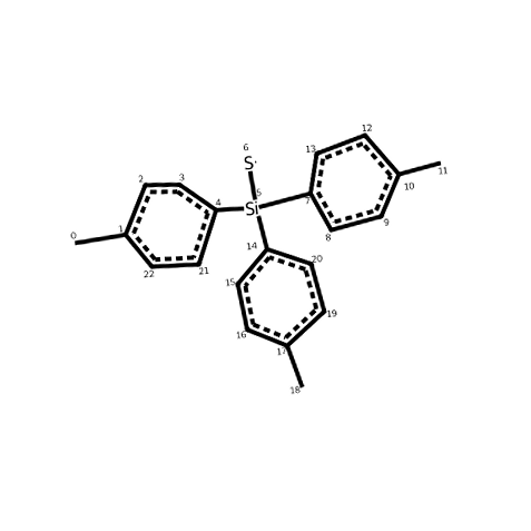 Cc1ccc([Si]([S])(c2ccc(C)cc2)c2ccc(C)cc2)cc1